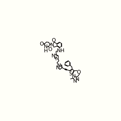 Cc1nnc2n1-c1sc(C#Cc3cnn(CCn4cnc(CNc5cccc6c5CN(C5CCC(=O)NC5=O)C6=O)c4)c3)c(Cc3ccccc3)c1COC2